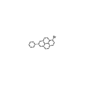 Brc1ccc2ccc3cc(-c4ccccc4)cc4ccc1c2c34